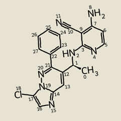 C[C@H](Nc1nccc(N)c1C#N)c1cc2ncc(Cl)n2nc1-c1ccccc1